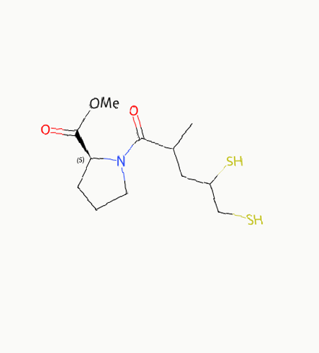 COC(=O)[C@@H]1CCCN1C(=O)C(C)CC(S)CS